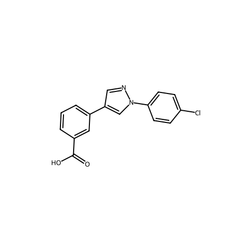 O=C(O)c1cccc(-c2cnn(-c3ccc(Cl)cc3)c2)c1